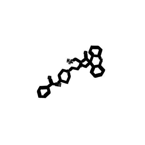 O=C(NC1CCN(CCCCC2(C(=O)NCC(F)(F)F)c3ccccc3Sc3ccccc32)CC1)c1ccccc1